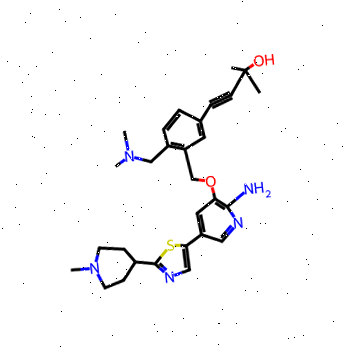 CN(C)Cc1ccc(C#CC(C)(C)O)cc1COc1cc(-c2cnc(C3CCN(C)CC3)s2)cnc1N